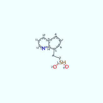 O=[SH](=O)CCc1cccc2cccnc12